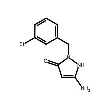 CCc1cccc(Cn2[nH]c(N)cc2=O)c1